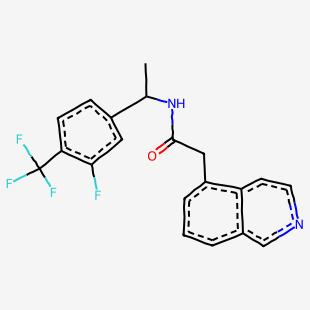 CC(NC(=O)Cc1cccc2cnccc12)c1ccc(C(F)(F)F)c(F)c1